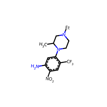 CCN1CCN(c2cc(N)c([N+](=O)[O-])cc2C(F)(F)F)C(C)C1